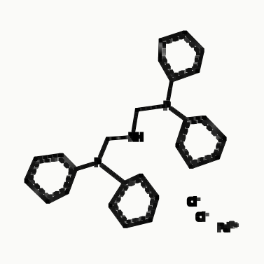 [Cl-].[Cl-].[Pd+2].c1ccc(P(CNCP(c2ccccc2)c2ccccc2)c2ccccc2)cc1